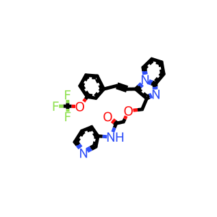 O=C(COCc1nc2ccccn2c1C#Cc1cccc(OC(F)(F)F)c1)Nc1cccnc1